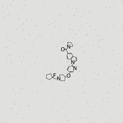 O=C(c1ccc2c(ccn2-c2ccc(OC3CCN(CC4(F)CCCC4)CC3)cn2)c1)N1CCC1